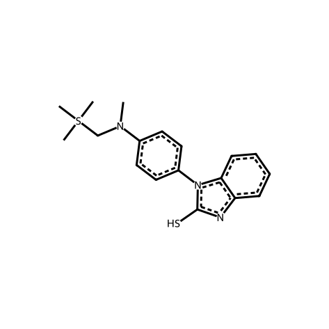 CN(CS(C)(C)C)c1ccc(-n2c(S)nc3ccccc32)cc1